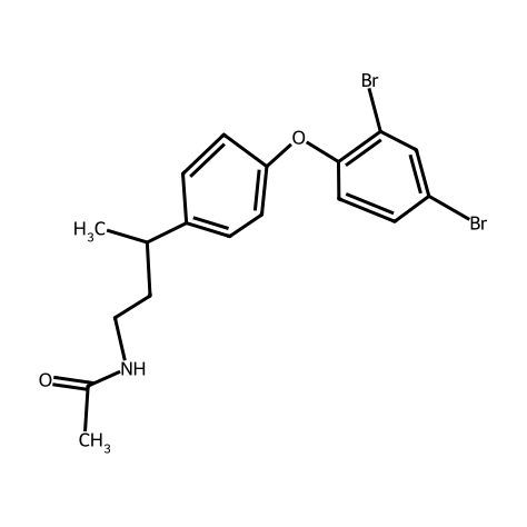 CC(=O)NCCC(C)c1ccc(Oc2ccc(Br)cc2Br)cc1